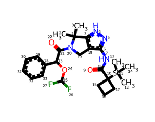 CC1(C)c2[nH]nc(NC(=O)C3([Si](C)(C)C)CCC3)c2CN1C(=O)C(OC(F)F)c1ccccc1